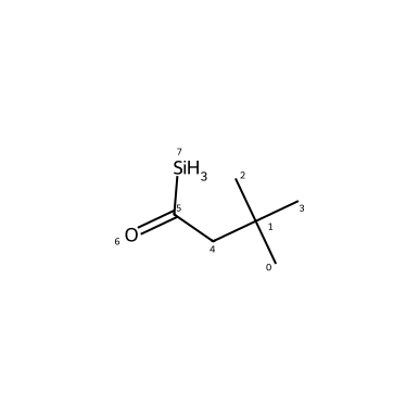 CC(C)(C)CC(=O)[SiH3]